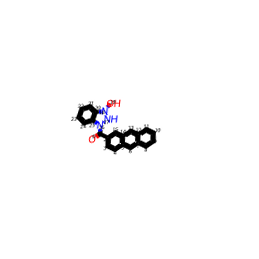 O=C(c1ccc2cc3ccccc3cc2c1)N1NN(O)c2ccccc21